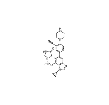 C[C@@H](Oc1nc(-c2ccc(N3CCNCC3)c(C#N)c2)cc2ncn(C3CC3)c12)[C@H]1CNC(=O)C1